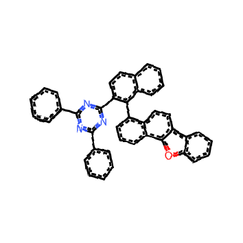 c1ccc(-c2nc(-c3ccccc3)nc(-c3ccc4ccccc4c3-c3cccc4c3ccc3c5ccccc5oc43)n2)cc1